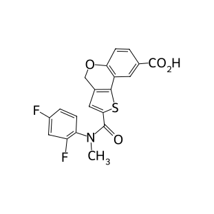 CN(C(=O)c1cc2c(s1)-c1cc(C(=O)O)ccc1OC2)c1ccc(F)cc1F